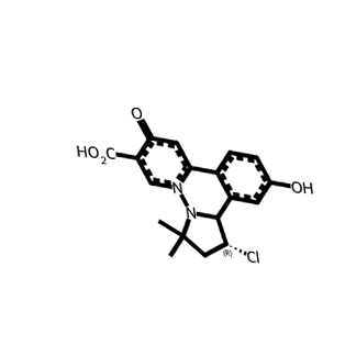 CC1(C)C[C@@H](Cl)C2c3cc(O)ccc3-c3cc(=O)c(C(=O)O)cn3N21